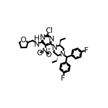 CC[C@H]1CN(C(c2ccc(F)cc2)c2ccc(F)cc2)[C@H](CC)CN1c1nc(Cl)nc(NCC2CCCO2)c1[N+](=O)[O-]